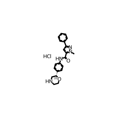 Cl.Cn1nc(-c2ccccc2)cc1C(=O)Nc1ccc([C@H]2CNCCO2)cc1